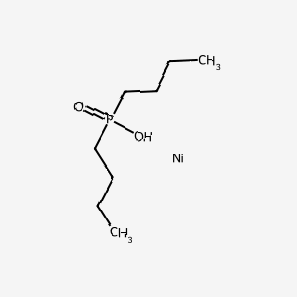 CCCCP(=O)(O)CCCC.[Ni]